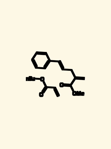 C=C(CC=Cc1ccccc1)C(=O)OC.C=CC(=O)OCCCC